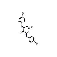 CCc1ccc(/C=C2\CN(CC)C/C(=C\c3ccc(CC)cc3)C2=O)cc1